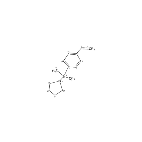 C=Cc1ccc(S(C)(C)N2CCCC2)cc1